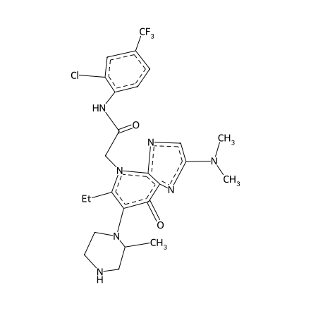 CCc1c(N2CCNCC2C)c(=O)c2nc(N(C)C)cnc2n1CC(=O)Nc1ccc(C(F)(F)F)cc1Cl